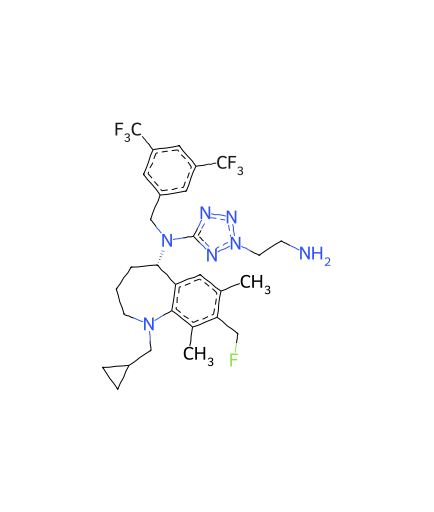 Cc1cc2c(c(C)c1CF)N(CC1CC1)CCC[C@@H]2N(Cc1cc(C(F)(F)F)cc(C(F)(F)F)c1)c1nnn(CCN)n1